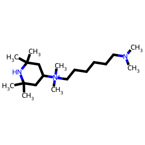 CN(C)CCCCCC[N+](C)(C)C1CC(C)(C)NC(C)(C)C1